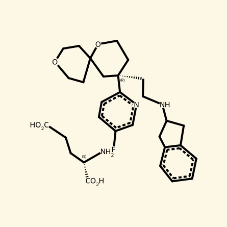 Fc1ccc([C@]2(CCNC3Cc4ccccc4C3)CCOC3(CCOCC3)C2)nc1.N[C@@H](CCC(=O)O)C(=O)O